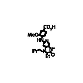 CCC1C(=O)N(C)c2cnc(Nc3ccc(C(=O)O)cc3OC)cc2N1CCC(C)C